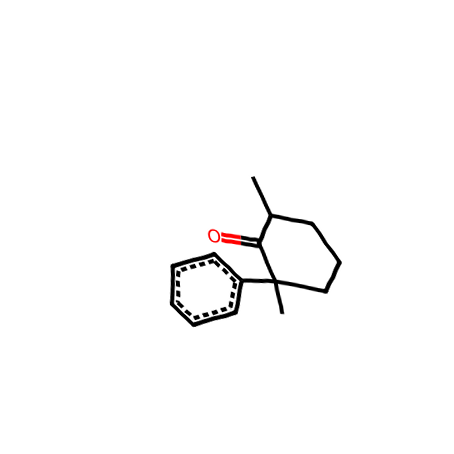 CC1CCCC(C)(c2ccccc2)C1=O